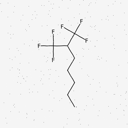 [CH2]CCCCC(C(F)(F)F)C(F)(F)F